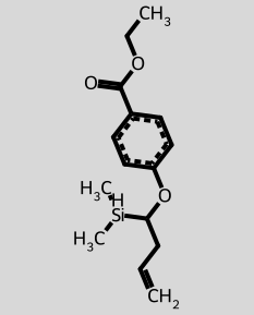 C=CCC(Oc1ccc(C(=O)OCC)cc1)[SiH](C)C